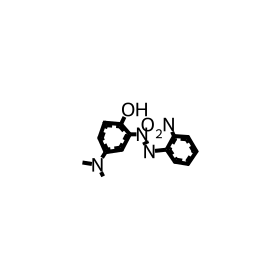 CN(C)c1ccc(O)c(N=Nc2ccccc2[N+](=O)[O-])c1